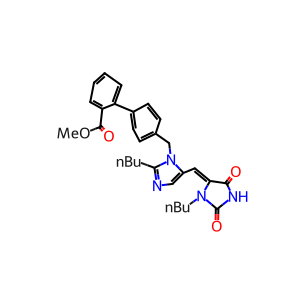 CCCCc1ncc(/C=C2/C(=O)NC(=O)N2CCCC)n1Cc1ccc(-c2ccccc2C(=O)OC)cc1